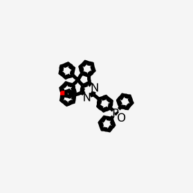 O=P(c1ccccc1)(c1ccccc1)c1ccc(-c2nc(-c3ccccc3)c3c(n2)-c2ccccc2C3(c2ccccc2)c2ccccc2)cc1